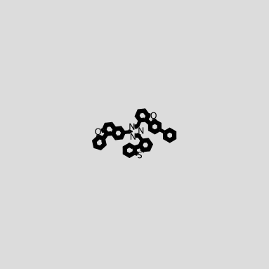 c1ccc(-c2ccc3c(c2)oc2cccc(-c4nc(-c5ccc6c(ccc7oc8ccccc8c76)c5)nc(-c5cccc6sc7ccccc7c56)n4)c23)cc1